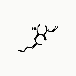 C=C(/C(=C\C(C)=C/CCC)NC)N(C)C=O